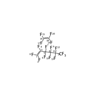 FC(F)=C(F)C(F)(F)C(F)(F)C(F)(F)C(F)(F)F.FC(F)=C(F)F